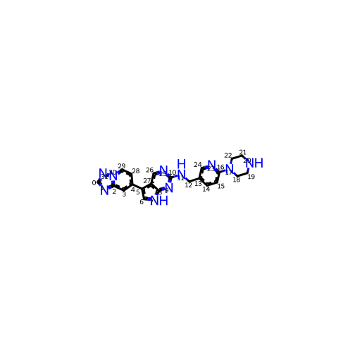 c1nc2cc(-c3c[nH]c4nc(NCc5ccc(N6CCNCC6)nc5)ncc34)ccn2n1